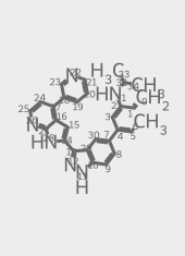 C=C/C(=C\C(=C/C)c1ccc2[nH]nc(-c3cc4c(-c5cccnc5)ccnc4[nH]3)c2c1)NC(C)C